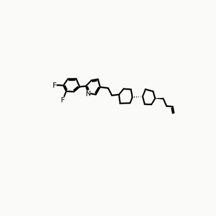 C=CCC[C@H]1CC[C@H](C2CCC(CCc3ccc(-c4ccc(F)c(F)c4)nc3)CC2)CC1